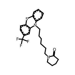 O=C1CCCCN1CCCCCCN1c2ccccc2Sc2ccc(C(F)(F)F)cc21